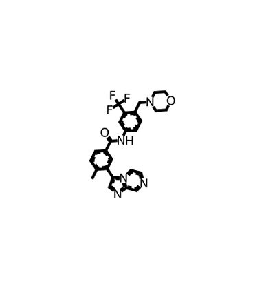 Cc1ccc(C(=O)Nc2ccc(CN3CCOCC3)c(C(F)(F)F)c2)cc1-c1cnc2cnccn12